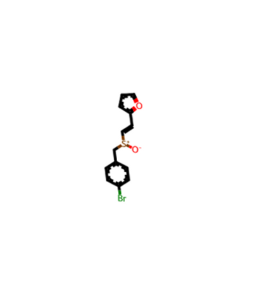 [O-][S+](/C=C/c1ccco1)Cc1ccc(Br)cc1